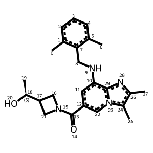 Cc1cccc(C)c1CNc1cc(C(=O)N2CC([C@H](C)O)C2)cn2c(C)c(C)nc12